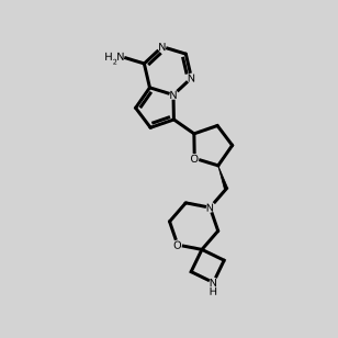 Nc1ncnn2c(C3CC[C@@H](CN4CCOC5(CNC5)C4)O3)ccc12